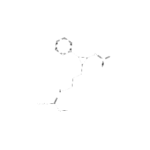 CC(C)CCCC1C(N=S(=O)=O)C1c1ccccc1.CNC(=S)NC=O